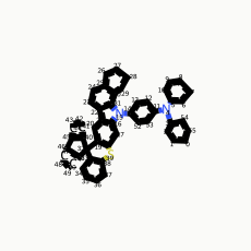 c1ccc(N(c2ccccc2)c2ccc(-n3c4cc5c(cc4c4ccc6ccccc6c43)C3(c4ccccc4S5)c4ccccc4-c4ccccc43)cc2)cc1